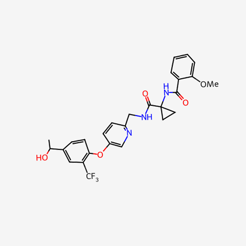 COc1ccccc1C(=O)NC1(C(=O)NCc2ccc(Oc3ccc(C(C)O)cc3C(F)(F)F)cn2)CC1